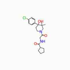 CC1(C)CN(C(=O)CNC(=O)C2CCCC2)CC[C@]1(O)c1ccc(Cl)cc1